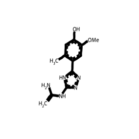 C=C(N)Nc1nnc(-c2cc(OC)c(O)cc2C)[nH]1